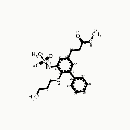 CCCCOc1c(NS(C)(=O)=O)cc(CCC(=O)OC)cc1-c1ccccc1